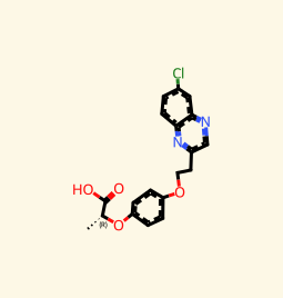 C[C@@H](Oc1ccc(OCCc2cnc3cc(Cl)ccc3n2)cc1)C(=O)O